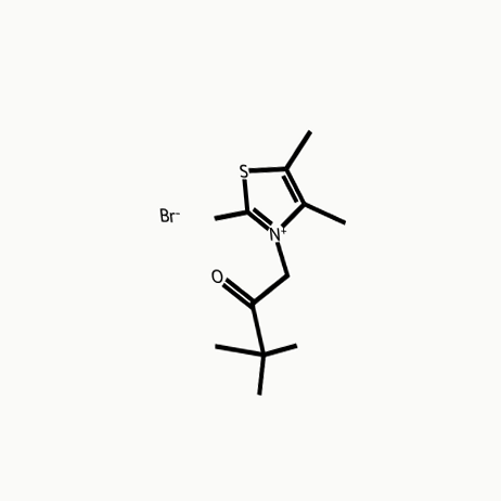 Cc1sc(C)[n+](CC(=O)C(C)(C)C)c1C.[Br-]